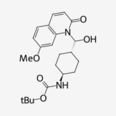 COc1ccc2ccc(=O)n(C(O)[C@H]3CC[C@H](NC(=O)OC(C)(C)C)CC3)c2c1